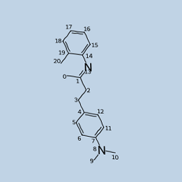 C/C(CCc1ccc(N(C)C)cc1)=N\c1ccccc1C